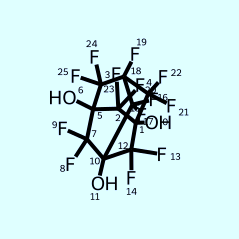 OC12C(F)(F)C3(O)C(F)(F)C(O)(C1(F)F)C(F)(F)C(F)(C2(F)F)C3(F)F